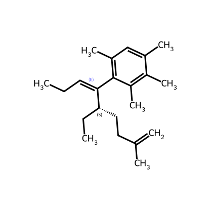 C=C(C)CC[C@H](CC)/C(=C\CC)c1c(C)cc(C)c(C)c1C